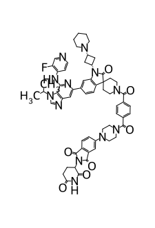 CC(C)n1cnc2cc(-c3ccc4c(c3)N([C@H]3C[C@@H](N5CCCCC5)C3)C(=O)C43CCN(C(=O)c4ccc(C(=O)N5CCN(c6ccc7c(c6)C(=O)N(C6CCC(=O)NC6=O)C7=O)CC5)cc4)CC3)nc(Nc3ccncc3F)c21